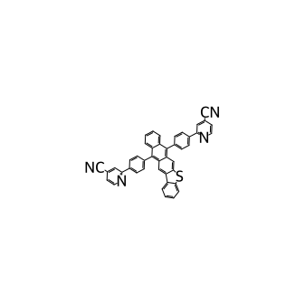 N#Cc1ccnc(-c2ccc(-c3c4ccccc4c(-c4ccc(-c5cc(C#N)ccn5)cc4)c4cc5c(cc34)sc3ccccc35)cc2)c1